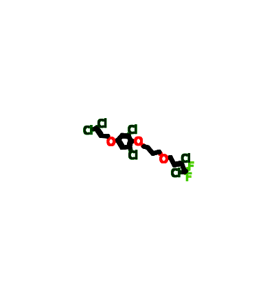 FC(F)(Cl)C(Cl)=CCOCCCCOc1c(Cl)cc(OCC=C(Cl)Cl)cc1Cl